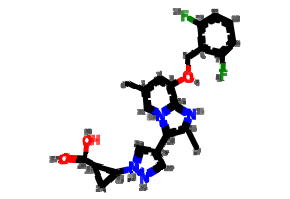 Cc1cc(OCc2c(F)cccc2F)c2nc(C)c(-c3cnn(C4CC4C(=O)O)c3)n2c1